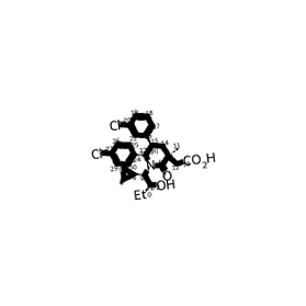 CC[C@@H](O)[C@H](C1CC1)N1C(=O)[C@](C)(CC(=O)O)C[C@H](c2cccc(Cl)c2)[C@H]1c1ccc(Cl)cc1